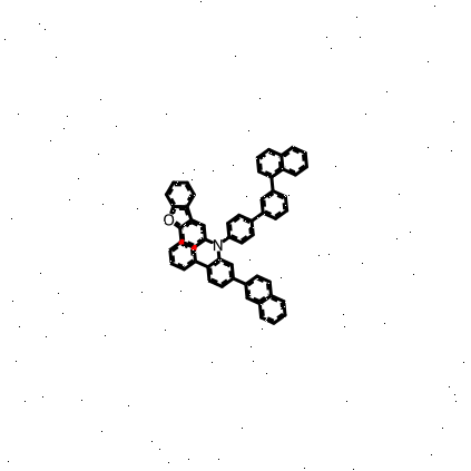 c1ccc(-c2ccc(-c3ccc4ccccc4c3)cc2N(c2ccc(-c3cccc(-c4cccc5ccccc45)c3)cc2)c2ccc3oc4ccccc4c3c2)cc1